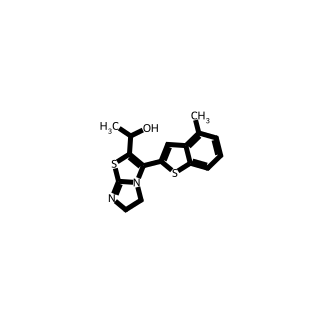 Cc1cccc2sc(C3=C(C(C)O)SC4=NCCN43)cc12